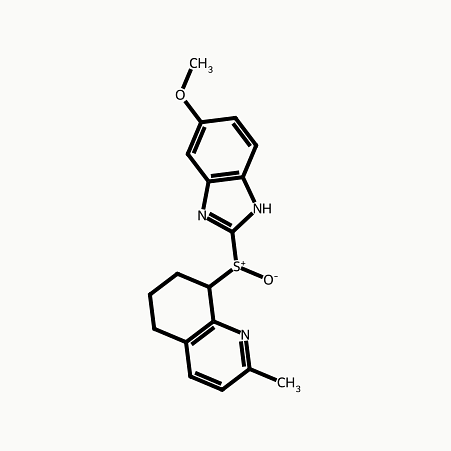 COc1ccc2[nH]c([S+]([O-])C3CCCc4ccc(C)nc43)nc2c1